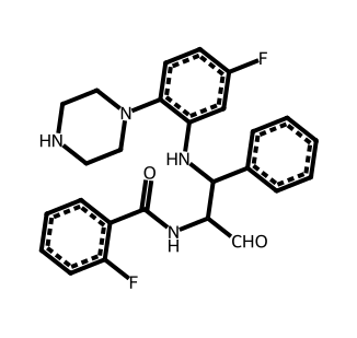 O=CC(NC(=O)c1ccccc1F)C(Nc1cc(F)ccc1N1CCNCC1)c1ccccc1